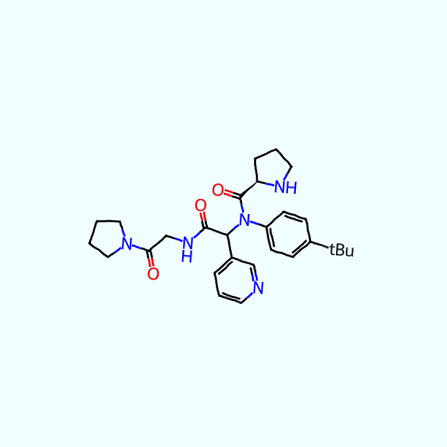 CC(C)(C)c1ccc(N(C(=O)[C@H]2CCCN2)C(C(=O)NCC(=O)N2CCCC2)c2cccnc2)cc1